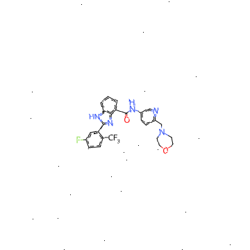 O=C(Nc1ccc(CN2CCOCC2)nc1)c1cccc2[nH]c(-c3cc(F)ccc3C(F)(F)F)nc12